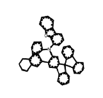 c1ccc(N(c2cc3c(cc2-c2ccc4c(c2)CCCC4)-c2ccccc2C32c3ccccc3-c3ccccc32)c2cccc3c2oc2ccccc23)cc1